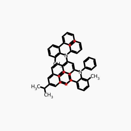 Cc1cccc(-c2ccccc2)c1N(c1ccccc1)c1cc(N(c2ccccc2)c2c(C)cccc2-c2ccccc2)c2ccc3cc(C(C)C)cc4ccc1c2c43